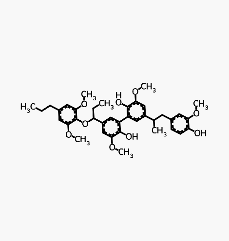 CCCc1cc(OC)c(OC(CC)c2cc(OC)c(O)c(-c3cc(C(C)Cc4ccc(O)c(OC)c4)cc(OC)c3O)c2)c(OC)c1